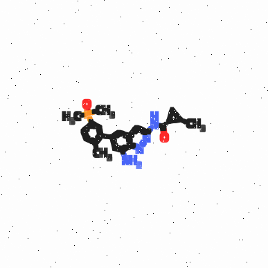 Cc1ccc(P(C)(C)=O)cc1-c1cc(N)c2nnc(NC(=O)[C@@H]3C[C@H]3C)cc2c1